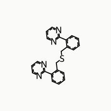 c1cnc(-c2ccccc2CSCc2ccccc2-c2ncccn2)nc1